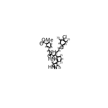 COC(=O)c1cccc(CNC(=O)c2[nH]c3c(-c4c(C)n[nH]c4C)cccc3c2CCCOc2cc(C)c(Cl)c(C)c2)c1